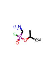 CC(OP(=O)(F)CN)C(C)(C)C